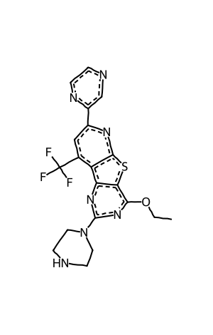 CCOc1nc(N2CCNCC2)nc2c1sc1nc(-c3cnccn3)cc(C(F)(F)F)c12